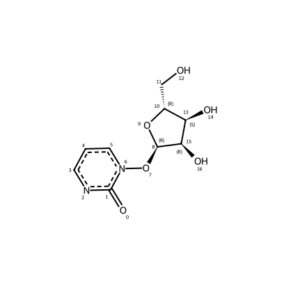 O=c1ncccn1O[C@H]1O[C@H](CO)[C@@H](O)[C@H]1O